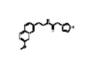 COc1ccc2ccc(CCNC(=O)Cc3c[nH]cn3)cc2c1